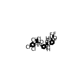 O=C(Nc1ccc(F)c(NC(=O)C(F)F)c1F)c1cc(NC(=O)[C@H]2[C@H](c3ccc(Cl)c(Cl)c3)C2(Cl)Cl)ccc1F